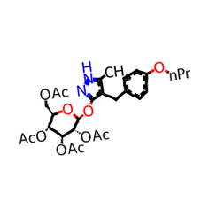 CCCOc1ccc(Cc2c(O[C@@H]3O[C@H](COC(C)=O)[C@@H](OC(C)=O)[C@H](OC(C)=O)[C@H]3OC(C)=O)n[nH]c2C)cc1